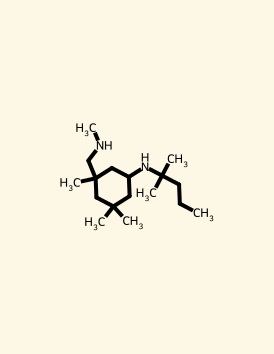 CCCC(C)(C)NC1CC(C)(C)CC(C)(CNC)C1